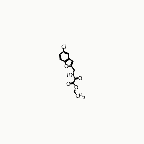 CCOC(=O)C(=O)NCc1cc2cc(Cl)ccc2o1